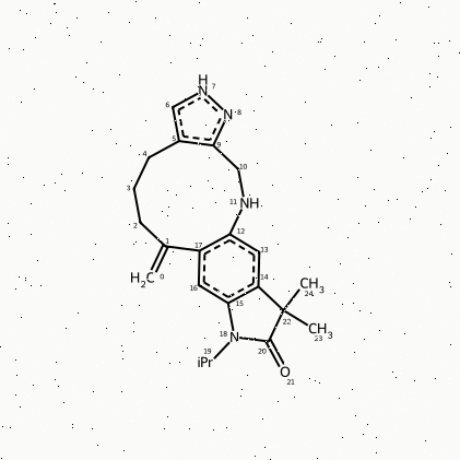 C=C1CCCc2c[nH]nc2CNc2cc3c(cc21)N(C(C)C)C(=O)C3(C)C